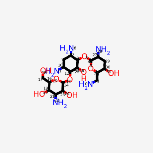 NCC1OC(OC2C(N)CC(N)C(OC3OC(CO)C(O)C(N)C3O)C2O)C(N)CC1O